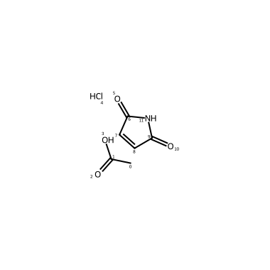 CC(=O)O.Cl.O=C1C=CC(=O)N1